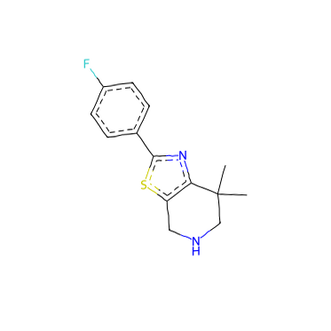 CC1(C)CNCc2sc(-c3ccc(F)cc3)nc21